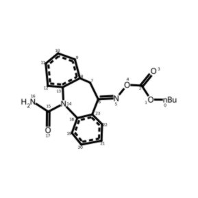 CCCCOC(=O)ON=C1Cc2ccccc2N(C(N)=O)c2ccccc21